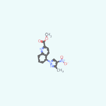 COC(=O)c1ccc2c(-n3cc([N+](=O)[O-])c(C)n3)cccc2n1